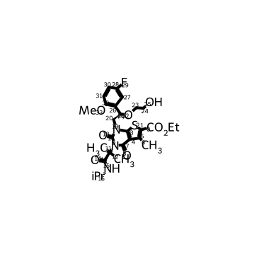 CCOC(=O)c1sc2c(c1C)c(=O)n(C(C)(C)C(=O)NC(C)C)c(=O)n2C[C@H](OCCO)c1cc(F)ccc1OC